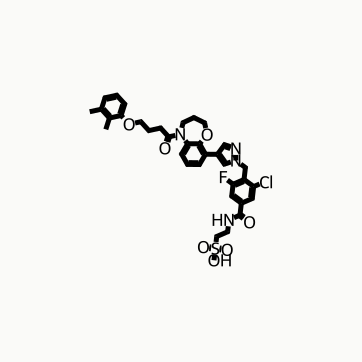 Cc1cccc(OCCCC(=O)N2CCCOc3c(-c4cnn(Cc5c(F)cc(C(=O)NCCS(=O)(=O)O)cc5Cl)c4)cccc32)c1C